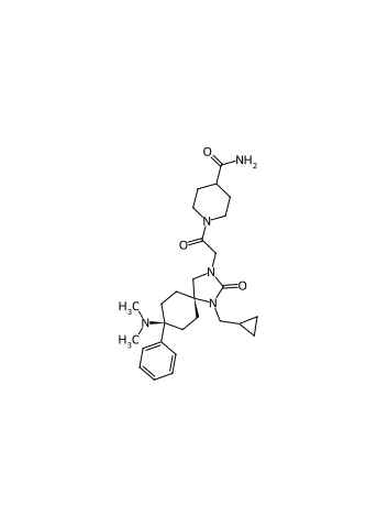 CN(C)[C@]1(c2ccccc2)CC[C@@]2(CC1)CN(CC(=O)N1CCC(C(N)=O)CC1)C(=O)N2CC1CC1